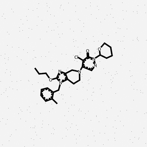 CCCOc1nc2c(n1Cc1ccccc1C)CCN(c1cnn(C3CCCCO3)c(=O)c1Cl)C2